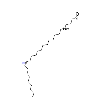 CCCCCCCC/C=C\CCCCCCCCCCCCNCCCN=O